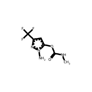 CNC(=O)Oc1cc(C(F)(F)F)nn1N